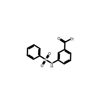 [CH2]CC(=O)c1cccc(NS(=O)(=O)c2ccccc2)c1